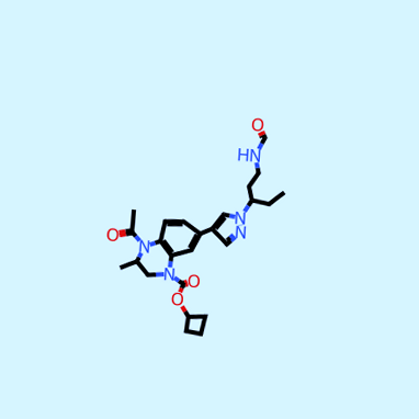 CCC(CCNC=O)n1cc(-c2ccc3c(c2)N(C(=O)OC2CCC2)CC(C)N3C(C)=O)cn1